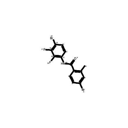 Cc1cc(Br)ccc1C(=O)Nc1ccc(Br)c(F)c1F